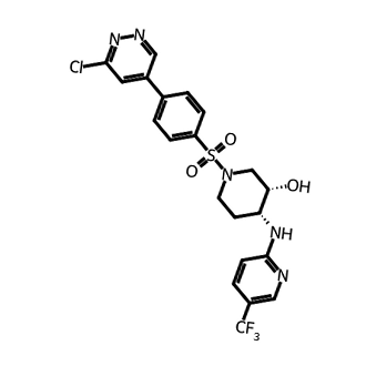 O=S(=O)(c1ccc(-c2cnnc(Cl)c2)cc1)N1CC[C@@H](Nc2ccc(C(F)(F)F)cn2)[C@@H](O)C1